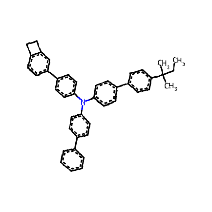 CCC(C)(C)c1ccc(-c2ccc(N(c3ccc(-c4ccccc4)cc3)c3ccc(-c4ccc5c(c4)CC5)cc3)cc2)cc1